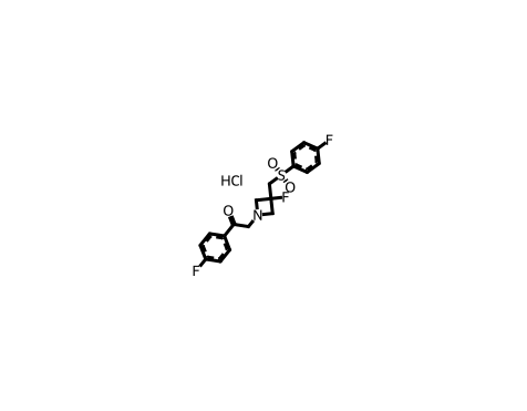 Cl.O=C(CN1CC(F)(CS(=O)(=O)c2ccc(F)cc2)C1)c1ccc(F)cc1